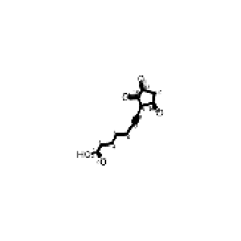 O=C(O)CCCCC#CC1C(=O)CC(=O)C1=O